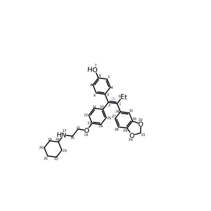 CC/C(=C(\c1ccc(O)cc1)c1ccc(OCCNC2CCCCC2)cc1)c1ccc2c(c1)OCO2